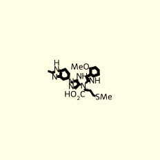 COc1cccc2[nH]c(N(c3cnn(-c4ccc5[nH]c(C)nc5c4)c3N)[C@@H](CCSC)C(=O)O)cc12